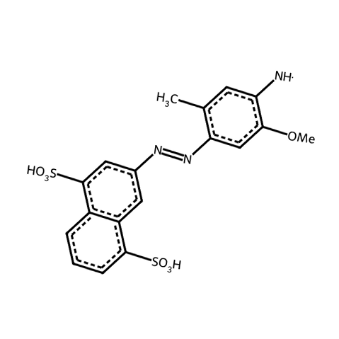 COc1cc(N=Nc2cc(S(=O)(=O)O)c3cccc(S(=O)(=O)O)c3c2)c(C)cc1[NH]